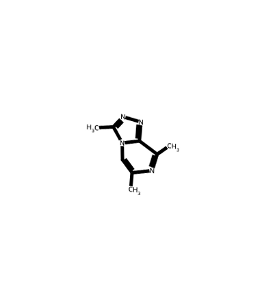 Cc1cn2c(C)nnc2c(C)n1